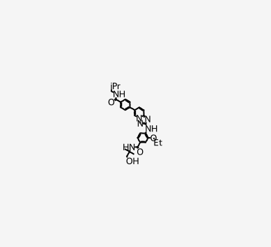 CCOc1cc(C(=O)NC(C)(C)CO)ccc1Nc1nc2ccc(-c3ccc(C(=O)NCC(C)C)cc3)cn2n1